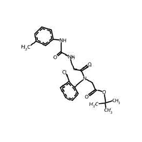 Cc1cccc(NC(=O)NCC(=O)N(CC(=O)OC(C)(C)C)c2ccccc2Cl)c1